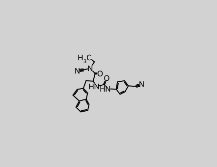 CCN(C#N)C(=O)C(Cc1ccc2ccccc2c1)NC(=O)Nc1ccc(C#N)cc1